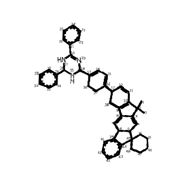 CC1(C)C2=CC3C(C=C2C2=C1C=CC(C1=CC=C(C4N=C(c5ccccc5)NC(c5ccccc5)N4)CC1)C2)c1ccccc1C31CCCCC1